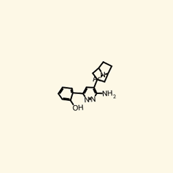 CC(=O)N1C2CCC1CC(c1cc(-c3ccccc3O)nnc1N)C2